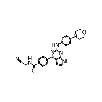 N#CCNC(=O)c1ccc(-c2nc(Nc3ccc(N4CCOCC4)cc3)nc3[nH]ccc23)cc1